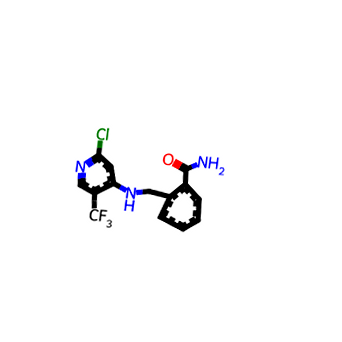 NC(=O)c1ccccc1CNc1cc(Cl)ncc1C(F)(F)F